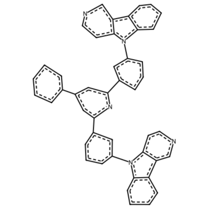 c1ccc(-c2cc(-c3cccc(-n4c5ccccc5c5cnccc54)c3)nc(-c3cccc(-n4c5ccccc5c5cnccc54)c3)c2)cc1